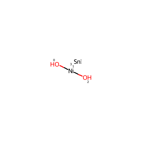 [OH][Ni][OH].[Sn]